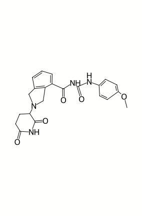 COc1ccc(NC(=O)NC(=O)c2cccc3c2CN(C2CCC(=O)NC2=O)C3)cc1